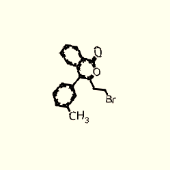 Cc1cccc(-c2c(CCBr)oc(=O)c3ccccc23)c1